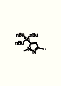 [CH2]c1c[c]([Sn]([CH2]CCC)([CH2]CCC)[CH2]CCC)n(C)n1